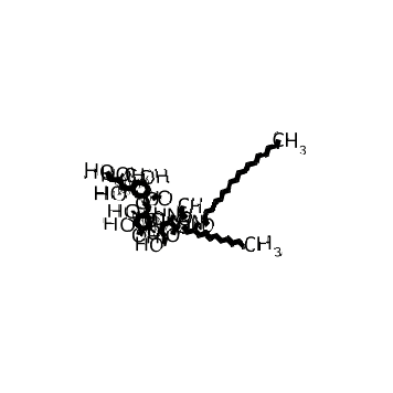 CCCCCCCCCCCCCCCCCC(=O)NC(CCCCCCCCCC)CO[C@@H]1OC(CO)[C@@H](O[C@@H]2OC(CO[C@@]3(OC=O)CC([C@H](O)[C@H](O)CO)[C@H](C)[C@H](O)C3)[C@H](O)[C@H](O)C2O)[C@H](O)C1NC(C)=O